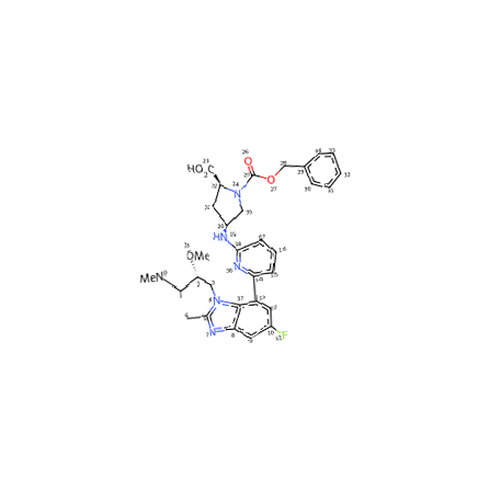 CNC[C@@H](Cn1c(C)nc2cc(F)cc(-c3cccc(N[C@H]4C[C@@H](C(=O)O)N(C(=O)OCc5ccccc5)C4)n3)c21)OC